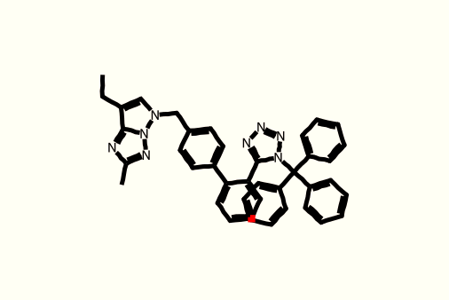 CCc1cn(Cc2ccc(-c3ccccc3-c3nnnn3C(c3ccccc3)(c3ccccc3)c3ccccc3)cc2)n2nc(C)nc12